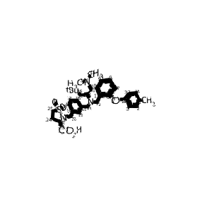 Cc1ccc(Oc2ccccc2CN(Cc2cccc(CN3C(C(=O)O)CCS3(=O)=O)c2)[C@H](CN(C)C)CC(C)(C)C)cc1